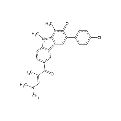 C/C(=C\N(C)C)C(=O)c1ccc2c(c1)c1cc(-c3ccc(Cl)cc3)c(=O)n(C)c1n2C